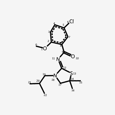 COc1ccc(Cl)cc1C(=O)N=C1SC(C)(C)CN1CC(C)C